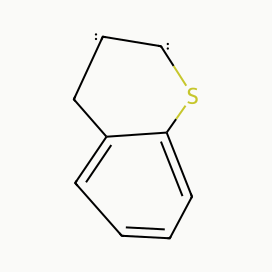 [C]1[C]Sc2ccccc2C1